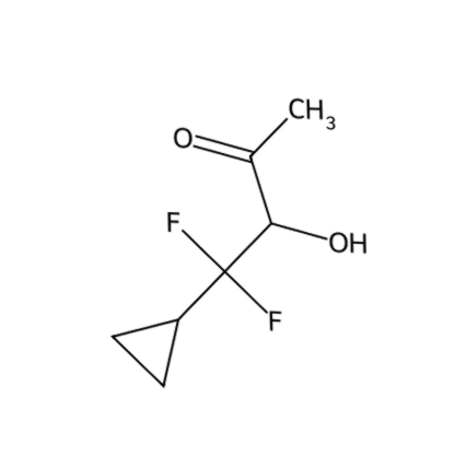 CC(=O)C(O)C(F)(F)C1CC1